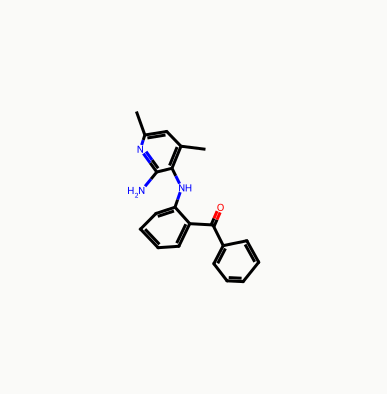 Cc1cc(C)c(Nc2ccccc2C(=O)c2ccccc2)c(N)n1